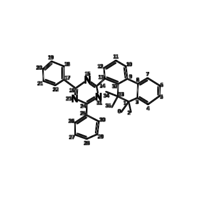 CC1(C)c2ccccc2-c2cccc(-c3nc(-c4ccccc4)nc(-c4ccccc4)n3)c2C1(C)C